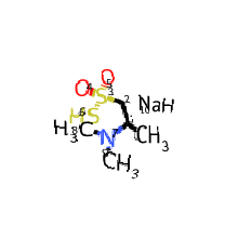 CC(CS(=O)(=O)S)N(C)C.[NaH]